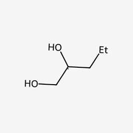 CCC[C](O)CO